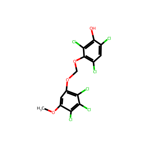 COc1cc(OCOc2c(Cl)cc(Cl)c(O)c2Cl)c(Cl)c(Cl)c1Cl